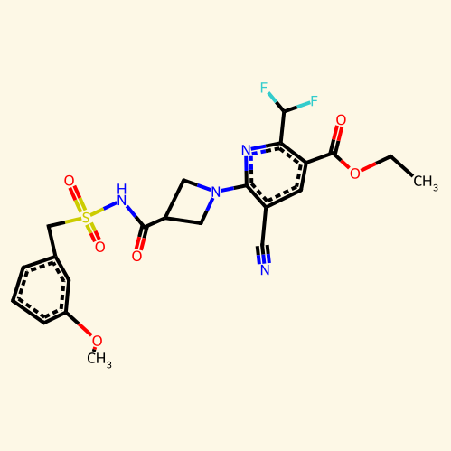 CCOC(=O)c1cc(C#N)c(N2CC(C(=O)NS(=O)(=O)Cc3cccc(OC)c3)C2)nc1C(F)F